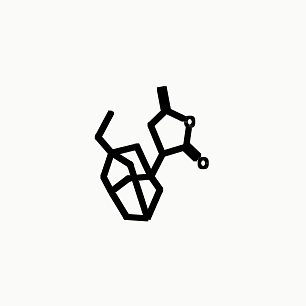 C=C1CC(C23CC4CC(CC(CC)(C4)C2)C3)C(=O)O1